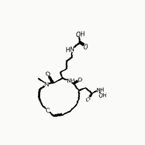 CN1CCCCC=CCCCC(CC(=O)NO)C(=O)NC(CCCCNC(=O)O)C1=O